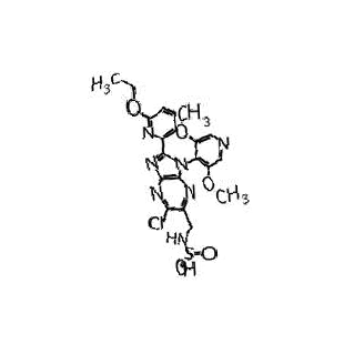 CCOc1cccc(-c2nc3nc(Cl)c(CN[SH](=O)=O)nc3n2-c2c(OC)cncc2OC)n1